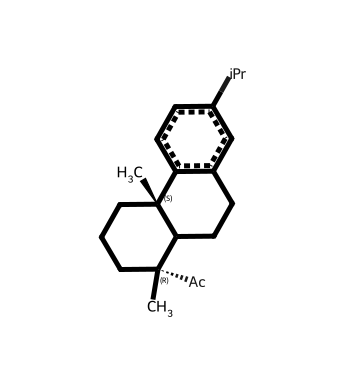 CC(=O)[C@]1(C)CCC[C@]2(C)c3ccc(C(C)C)cc3CCC12